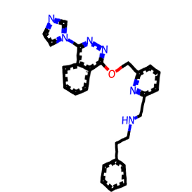 c1ccc(CCNCc2cccc(COc3nnc(-n4ccnc4)c4ccccc34)n2)cc1